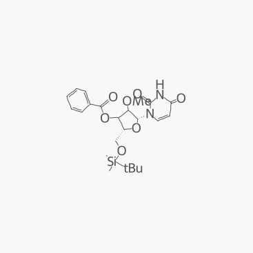 COC1C(OC(=O)c2ccccc2)[C@@H](CO[Si](C)(C)C(C)(C)C)O[C@H]1n1ccc(=O)[nH]c1=O